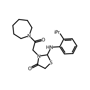 CC(C)c1ccccc1NC1SCC(=O)N1CC(=O)N1CCCCCC1